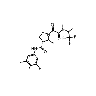 CC(NC(=O)C(=O)N1CC[C@@H](C(=O)Nc2cc(F)c(F)c(F)c2)[C@@H]1C)C(F)(F)F